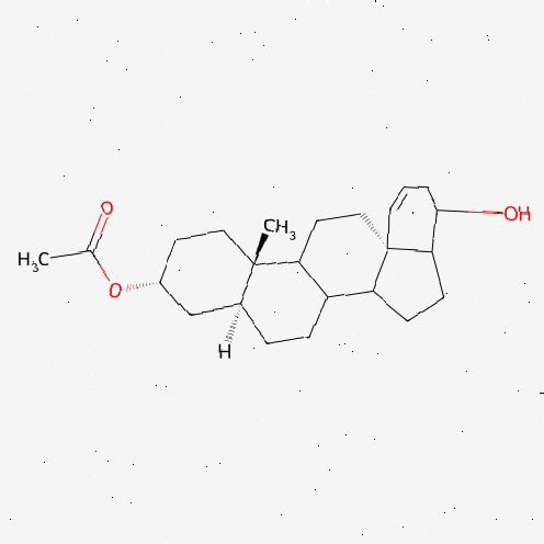 CC(=O)O[C@@H]1CC[C@]2(C)C3CC[C@]45C=CCC(O)C4CCC5C3CC[C@H]2C1